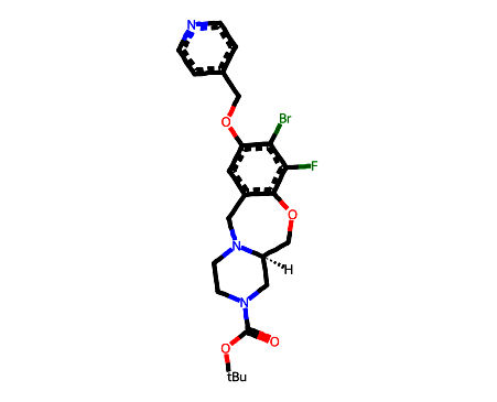 CC(C)(C)OC(=O)N1CCN2Cc3cc(OCc4ccncc4)c(Br)c(F)c3OC[C@H]2C1